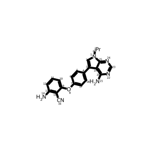 CC(C)n1cc(-c2ccc(Oc3cccc(N)c3C#N)cc2)c2c(N)ncnc21